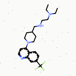 CCN(CC)CCNCC1CCN(c2ccnc3cc(C(F)(F)F)ccc23)CC1